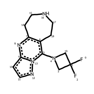 FC1(F)CN(c2c3c(nc4ccnn24)CCNCC3)C1